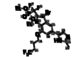 CCOP(=O)(OCC)C(F)(F)c1sc2c(OCCCC(F)(F)F)cc(-c3cnc(C)[nH]3)cc2c1Br